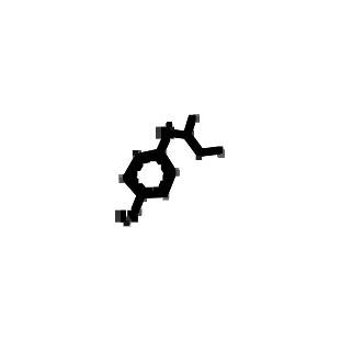 CCC(C)Nc1ccc(N)cc1